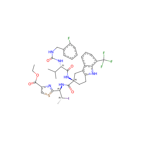 CCOC(=O)c1csc([C@@H](NC(=O)[C@@]2(NC(=O)[C@@H](NC(=O)NCc3ccccc3F)C(C)C)CCc3[nH]c4c(C(F)(F)F)cccc4c3C2)[C@@H](C)I)n1